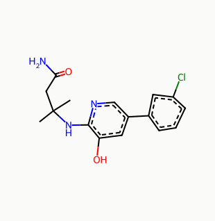 CC(C)(CC(N)=O)Nc1ncc(-c2cccc(Cl)c2)cc1O